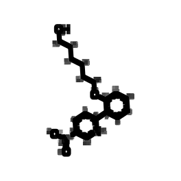 O=[N+]([O-])c1ccc(-c2ccccc2OCCCCCCO)nc1